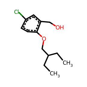 CCC(CC)COc1ccc(Cl)cc1CO